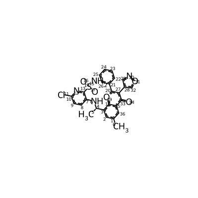 Cc1cc([C@@H](C)Nc2ccc(Cl)nc2S(N)(=O)=O)c2oc(-c3ccccc3)c(-c3cnoc3)c(=O)c2c1